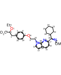 CCOC(Cc1ccc(OCCn2ccc3ccc(/C(=N\OC)C4CCCCC4)nc32)cc1)C(=O)O